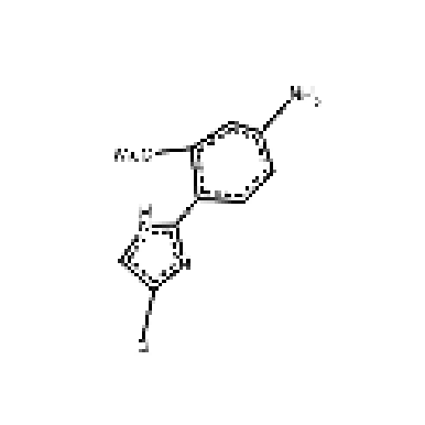 COc1cc(N)ccc1-c1nc(Cl)c[nH]1